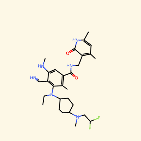 CCN(c1c(C)c(C(=O)NCc2c(C)cc(C)[nH]c2=O)cc(NC)c1C=N)C1CCC(N(C)CC(F)F)CC1